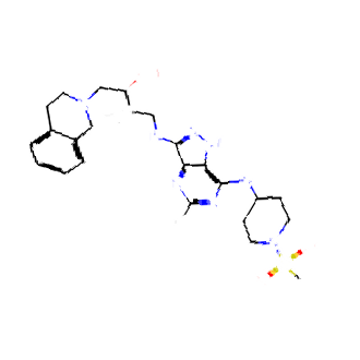 CS(=O)(=O)N1CCC(Nc2nc(C(F)(F)F)nc3c(NC[SiH2][C@H](O)CN4CCc5ccccc5C4)n[nH]c23)CC1